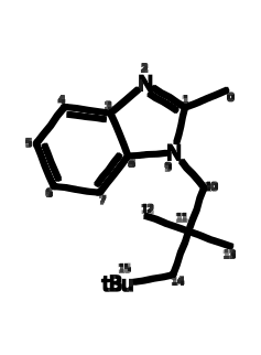 Cc1nc2ccccc2n1CC(C)(C)CC(C)(C)C